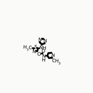 Cc1cc(NC(=O)Oc2nc(C)sc2Nc2cncnc2)ccn1